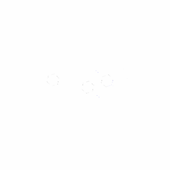 Cc1nc(CNCC2CCCCC2)c(-c2ccc(OCCc3ccc(F)cc3)cc2)c(N2CCC3(CCC3)CC2)c1CC(=O)O